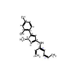 C=C/C(=C\C=C/C)Nc1cc(-c2ccc(Cl)cc2Cl)n(C)n1